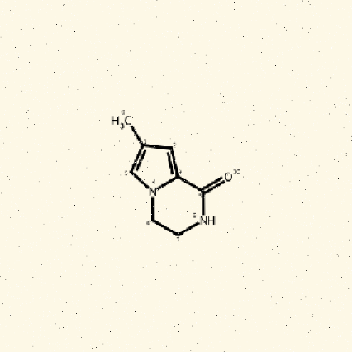 Cc1cc2n(c1)CCNC2=O